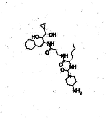 CCCC[C@H](NC(=O)N1CCC(N)CC1)C(=O)NCCC(=O)N[C@@H](CC1CCCCC1)[C@@H](O)[C@@H](O)C1CC1